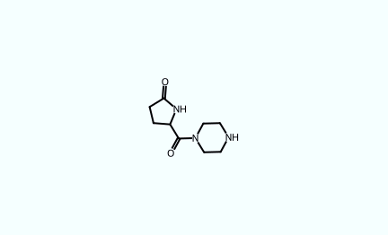 O=C1CCC(C(=O)N2CCNCC2)N1